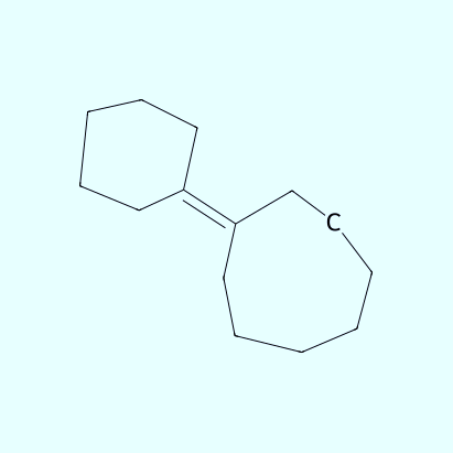 C1CCCC(=C2CCCCC2)CCC1